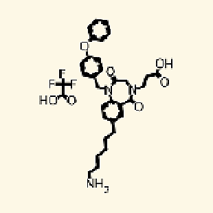 NCCCCCCc1ccc2c(c1)C(=O)N(CCC(=O)O)CC(=O)N2Cc1ccc(Oc2ccccc2)cc1.O=C(O)C(F)(F)F